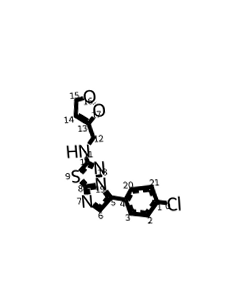 Clc1ccc(-c2cnc3sc(NCC4=CCOO4)nn23)cc1